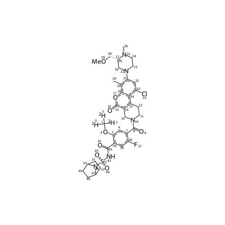 [2H]C([2H])([2H])Oc1cc(C(=O)N2CCc3c(c(=O)oc4c(C)c(N5CCN(C)[C@@H](COC)C5)cc(Cl)c34)C2)c(F)cc1C(=O)NS(=O)(=O)N1C2CCC1CC2